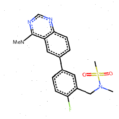 CNc1ncnc2ccc(-c3ccc(F)c(CN(C)S(C)(=O)=O)c3)cc12